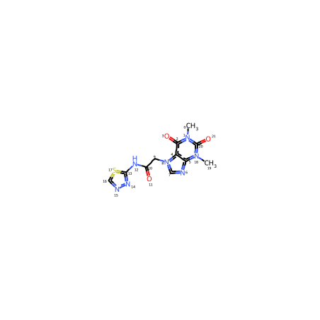 Cn1c(=O)c2c(ncn2CC(=O)Nc2nncs2)n(C)c1=O